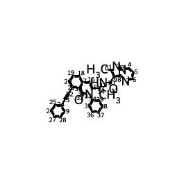 Cc1nn2cccnc2c1C(=O)NC(C)c1cc2cccc(C#Cc3ccccc3)c2c(=O)n1-c1ccccc1